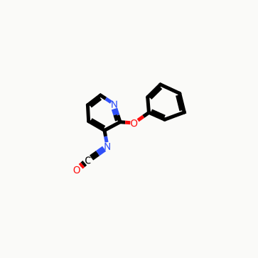 O=C=Nc1cccnc1Oc1ccccc1